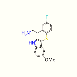 COc1ccc2[nH]cc(Sc3ccc(F)cc3CCN)c2c1